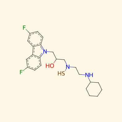 OC(CN(S)CCNC1CCCCC1)Cn1c2ccc(F)cc2c2cc(F)ccc21